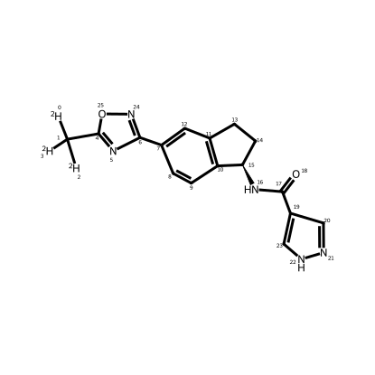 [2H]C([2H])([2H])c1nc(-c2ccc3c(c2)CC[C@H]3NC(=O)c2cn[nH]c2)no1